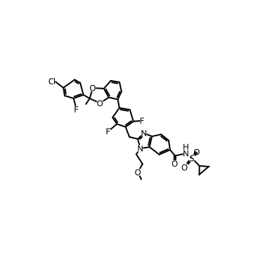 COCCn1c(Cc2c(F)cc(-c3cccc4c3OC(C)(c3ccc(Cl)cc3F)O4)cc2F)nc2ccc(C(=O)NS(=O)(=O)C3CC3)cc21